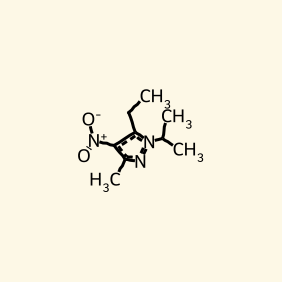 CCc1c([N+](=O)[O-])c(C)nn1C(C)C